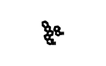 C1=Cc2ccc3c(ccc4cc5ccccc5cc43)c2ON1.c1ccc2c(c1)CCN2